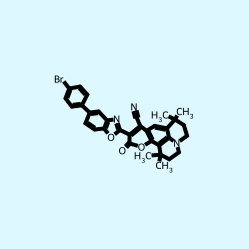 CC1(C)CCN2CCC(C)(C)c3c2c1cc1c(C#N)c(-c2nc4cc(-c5ccc(Br)cc5)ccc4o2)c(=O)oc31